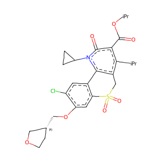 CC(C)OC(=O)c1c(C(C)C)c2c(n(C3CC3)c1=O)-c1cc(Cl)c(OC[C@@H]3CCOC3)cc1S(=O)(=O)C2